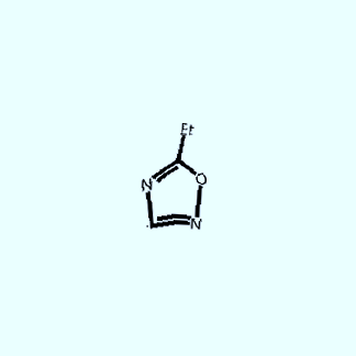 CCc1n[c]no1